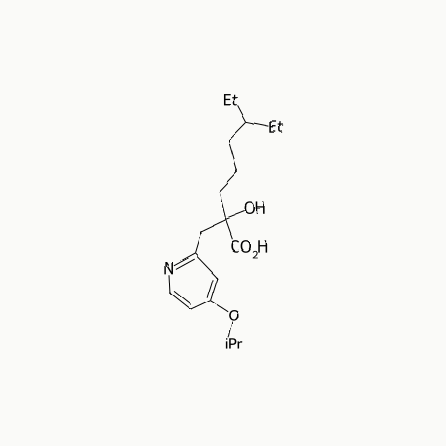 CCC(CC)CCCC(O)(Cc1cc(OC(C)C)ccn1)C(=O)O